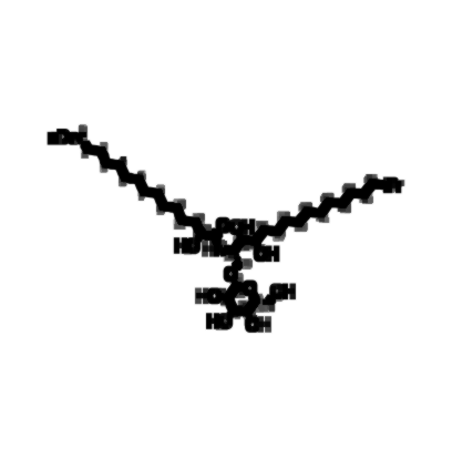 CCCCCCCCCCCCCCCCCCCCCC[C@H](O)C(=O)N[C@@H](CO[C@@H]1O[C@H](CO)[C@H](O)[C@H](O)[C@H]1O)[C@H](O)[C@H](O)CCCCCCCCCCCC(C)C